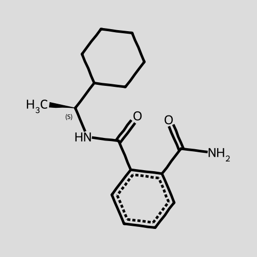 C[C@H](NC(=O)c1ccccc1C(N)=O)C1CCCCC1